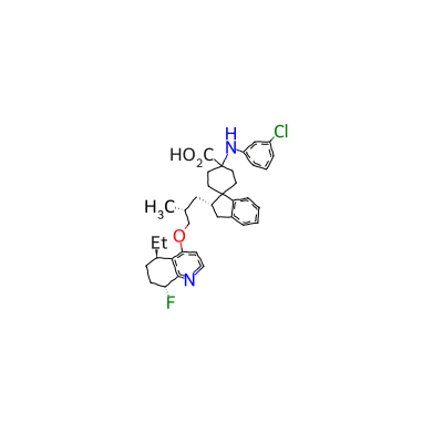 CC[C@@H]1CC[C@@H](F)c2nccc(OC[C@H](C)C[C@H]3Cc4ccccc4C34CCC(Nc3cccc(Cl)c3)(C(=O)O)CC4)c21